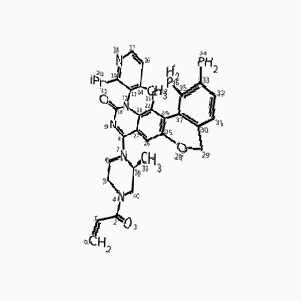 C=CC(=O)N1CCN(c2nc(=O)n(-c3c(C)ccnc3C(C)C)c3c(F)c4c(cc23)OCc2ccc(P)c(P)c2-4)[C@@H](C)C1